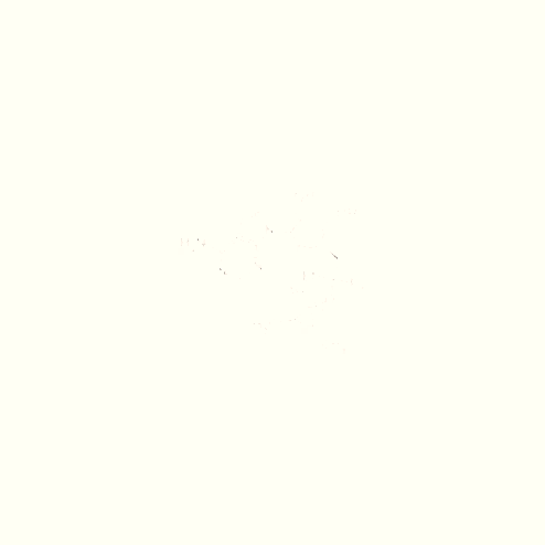 CCC(CC)(C[C@H]1OC(n2ccc3c(N)ncnc32)[C@H](O)[C@@H]1O)O[PH]1(O)C(C)C1C